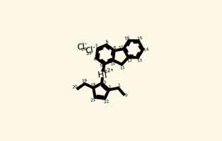 CCC1=[C]([Hf+2][c]2cccc3c2Cc2ccccc2-3)C(CC)C=C1.[Cl-].[Cl-]